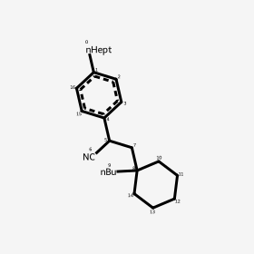 CCCCCCCc1ccc(C(C#N)CC2(CCCC)CCCCC2)cc1